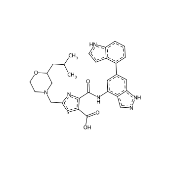 CC(C)CC1CN(Cc2nc(C(=O)Nc3cc(-c4cccc5[nH]ccc45)cc4[nH]ncc34)c(C(=O)O)s2)CCO1